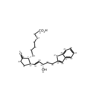 O=C(O)CSCCCS[C@H]1C(=O)CC[C@@H]1C=C[C@@H](O)CCc1cc2ccccc2s1